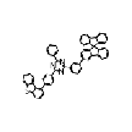 c1ccc(-c2nc(-c3ccc(-c4cccc5sc6ccccc6c45)cc3)nc(-c3cccc(-c4ccc5c(c4)-c4ccccc4C54c5ccccc5-c5ccccc54)c3)n2)cc1